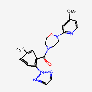 COc1ccnc(N2CCN(C(=O)c3cc(C)ccc3-n3nccn3)CCO2)c1